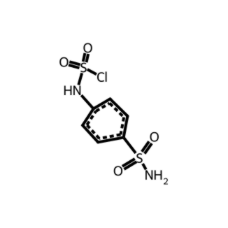 NS(=O)(=O)c1ccc(NS(=O)(=O)Cl)cc1